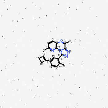 Cc1ccc2nc(C)c3nnc(-c4cc(C5=CCC5)ccc4C)n3c2n1